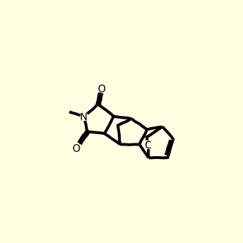 CN1C(=O)C2C3CC(C2C1=O)C1C2C=CC(CC2)C31